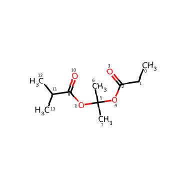 CCC(=O)OC(C)(C)OC(=O)C(C)C